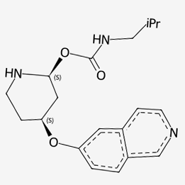 CC(C)CNC(=O)O[C@H]1C[C@@H](Oc2ccc3cnccc3c2)CCN1